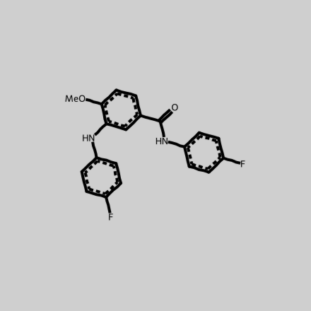 COc1ccc(C(=O)Nc2ccc(F)cc2)cc1Nc1ccc(F)cc1